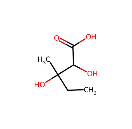 CCC(C)(O)C(O)C(=O)O